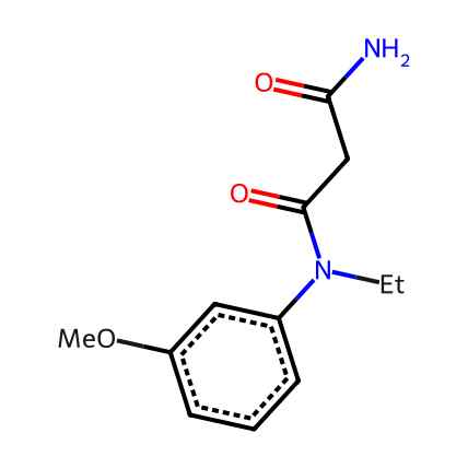 CCN(C(=O)CC(N)=O)c1cccc(OC)c1